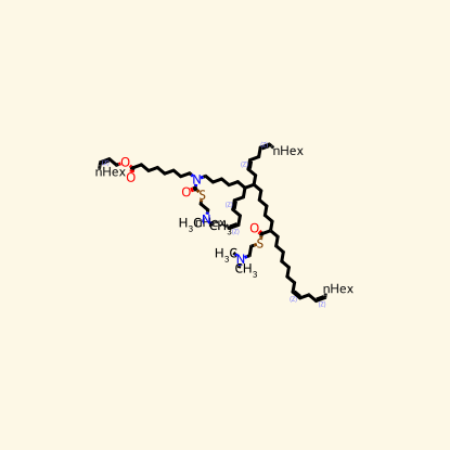 CCCCCC/C=C\C/C=C\CCCCCCCC(CCCCCC(C/C=C\C/C=C\CCCCCC)C(C/C=C\C/C=C\CCCCCC)CCCCCN(CCCCCCCC(=O)OC/C=C\CCCCCC)C(=O)SCCN(C)C)C(=O)SCCN(C)C